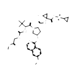 COC(=O)CNC(=O)N[C@H](C(=O)N1C[C@H](Oc2nccc3cc(OC)ccc23)C[C@H]1C(=O)N[C@]1(C(=O)NS(=O)(=O)C2CC2)C[C@H]1I)C(C)(C)C